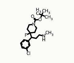 CNCCC(c1cccc(Cl)c1)C1(F)CCN(C(=O)OC(C)(C)C)CC1